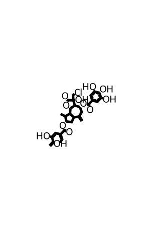 C=C(O)/C(O)=C\C(=C/C)C(=O)OC1CC2C(=C)CC(OC(=O)c3cc(O)c(O)c(O)c3)C3C(OC(=O)C3(O)CCl)C2C1C